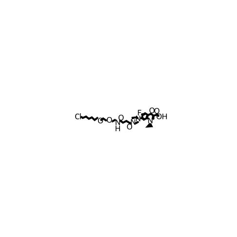 O=C(CCC(=O)N1CCN(c2cc3c(cc2F)c(=O)c(C(=O)O)cn3C2CC2)CC1)NCCOCCOCCCCCCCl